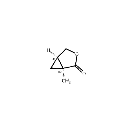 C[C@]12C[C@H]1COC2=O